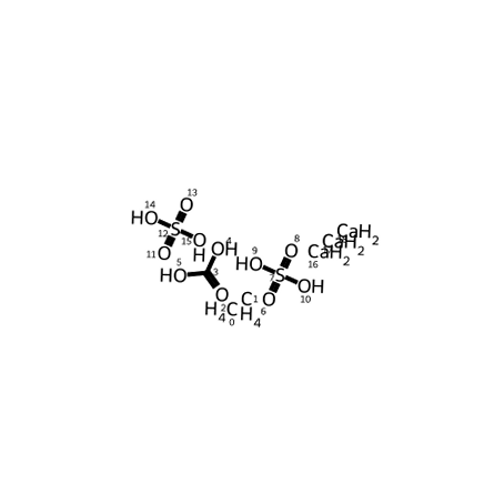 C.C.O=C(O)O.O=S(=O)(O)O.O=S(=O)(O)O.[CaH2].[CaH2].[CaH2]